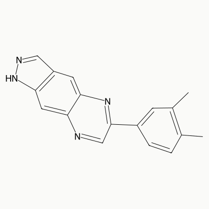 Cc1ccc(-c2cnc3cc4[nH]ncc4cc3n2)cc1C